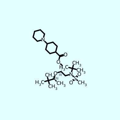 C[C@H](O[C@H](COC(=O)C1CCC(N2CCCCC2)CC1)CN(C(C)(C)C)S(C)(=O)=O)C(C)(C)C